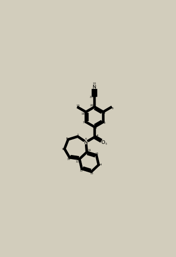 Cc1cc(C(=O)N2CCCC=C3C=CCC=C32)cc(C)c1C#N